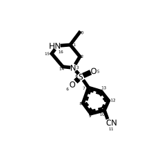 CC1CN(S(=O)(=O)c2ccc(C#N)cc2)CCN1